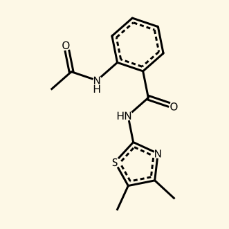 CC(=O)Nc1ccccc1C(=O)Nc1nc(C)c(C)s1